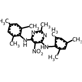 Cc1cc(C)c(Nc2nc(C)nc(Nc3c(C)cc(C)cc3C)c2[N+](=O)[O-])c(C)c1